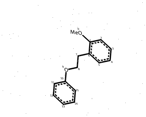 COc1ccccc1CCOc1cc[c]cc1